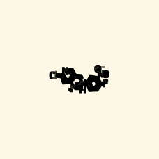 CNc1cc(Cl)ncc1CNc1ccc(F)c([N+](=O)[O-])c1